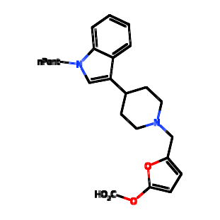 CCCCCn1cc(C2CCN(Cc3ccc(OC(=O)O)o3)CC2)c2ccccc21